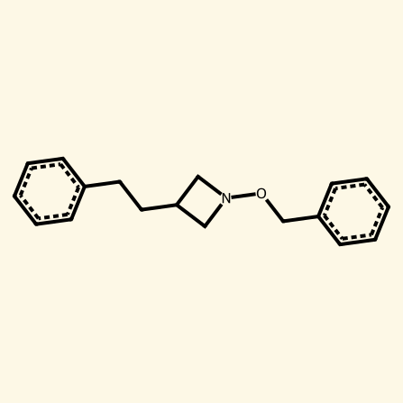 c1ccc(CCC2CN(OCc3ccccc3)C2)cc1